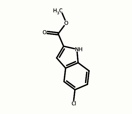 COC(=O)c1cc2cc(Cl)ccc2[nH]1